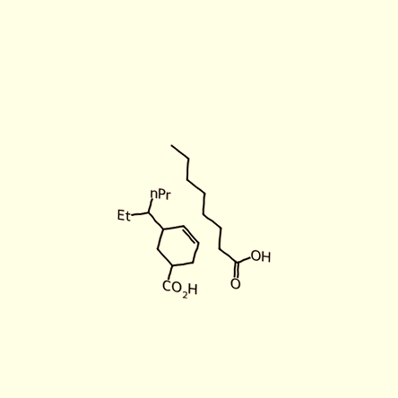 CCCC(CC)C1C=CCC(C(=O)O)C1.CCCCCCCC(=O)O